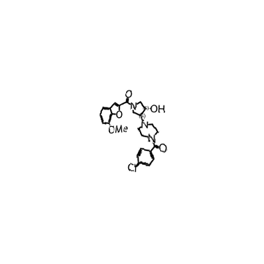 COc1cccc2cc(C(=O)N3C[C@H](O)[C@@H](N4CCN(C(=O)c5ccc(Cl)cc5)CC4)C3)oc12